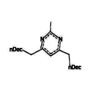 CCCCCCCCCCCc1cc(CCCCCCCCCCC)nc(C)n1